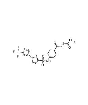 CC(=O)SCC(=O)C1=CC=C(NS(=O)(=O)c2ccc(-c3cc(C(F)(F)F)on3)s2)CC1